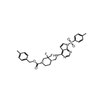 Cc1ccc(COC(=O)N2CC[C@H](CNc3ncnc4c3ccn4S(=O)(=O)c3ccc(C)cc3)C(F)(F)C2)cc1